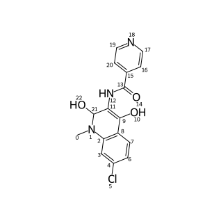 CN1c2cc(Cl)ccc2C(O)=C(NC(=O)c2ccncc2)C1O